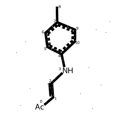 CC(=O)/C=C/Nc1ccc(C)cc1